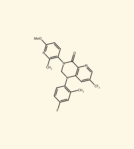 COc1ccc(N2CN(c3ccc(F)cc3C)c3cc(C(F)(F)F)cnc3C2=O)c(C)n1